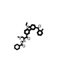 CCn1c2ccc(C(=O)/C(CSC)=N/OC(=O)C3CCCCC3)cc2c2cc(C(=O)c3ccccc3C)ccc21